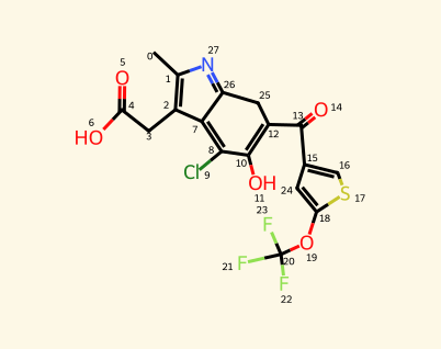 CC1=C(CC(=O)O)C2=C(Cl)C(O)=C(C(=O)c3csc(OC(F)(F)F)c3)CC2=N1